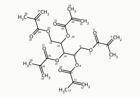 C=C(C)C(=O)OCC(OC(=O)C(=C)C)C(OC(=O)C(=C)C)C(COC(=O)C(=C)C)OC(=O)C(=C)C